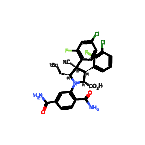 CC(C)(C)C[C@H]1N(c2cc(C(N)=O)ccc2C(N)=O)[C@H](C(=O)O)[C@@H](c2cccc(Cl)c2F)[C@]1(C#N)c1ccc(Cl)cc1F